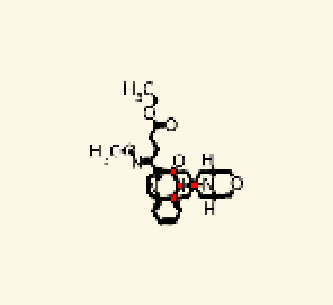 CCOC(=O)CCC(=NOC)c1nc2ccccc2n(C2C[C@H]3COC[C@@H](C2)N3C2CC3CCCCC(C3)C2)c1=O